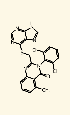 Cc1cccc2nc(CSc3ncnc4[nH]cnc34)n(-c3c(Cl)cccc3Cl)c(=O)c12